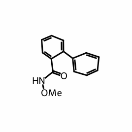 CONC(=O)c1ccccc1-c1ccccc1